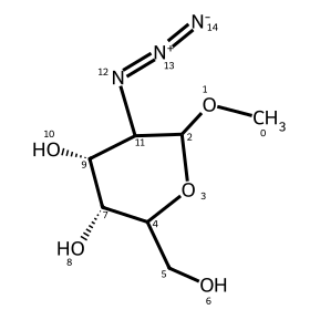 COC1OC(CO)[C@H](O)[C@H](O)C1N=[N+]=[N-]